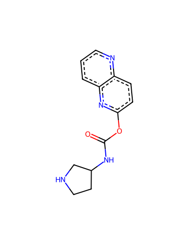 O=C(NC1CCNC1)Oc1ccc2ncccc2n1